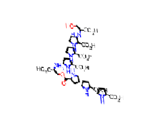 N[C@@H](CO)C(=O)O.N[C@@H](COC(=O)[C@@H]1CCCN1)C(=O)O.O=C(O)[C@@H]1CCCN1.O=C(O)[C@@H]1CCCN1.O=C(O)[C@@H]1CCCN1.O=C(O)[C@@H]1CCCN1.O=C(O)[C@@H]1CCCN1